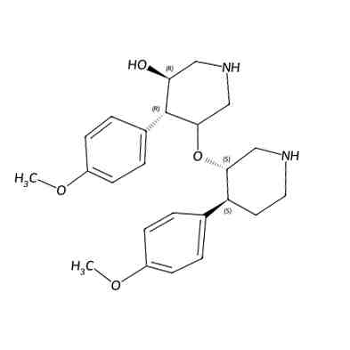 COc1ccc([C@@H]2CCNC[C@H]2OC2CNC[C@H](O)[C@H]2c2ccc(OC)cc2)cc1